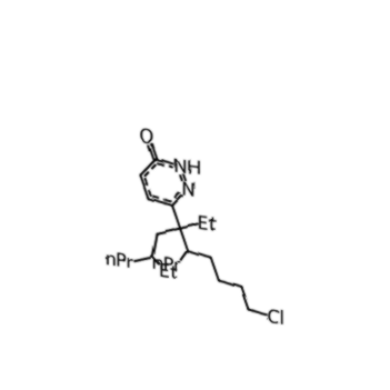 CCCC(CC)CC(CC)(c1ccc(=O)[nH]n1)C(CCC)CCCCCl